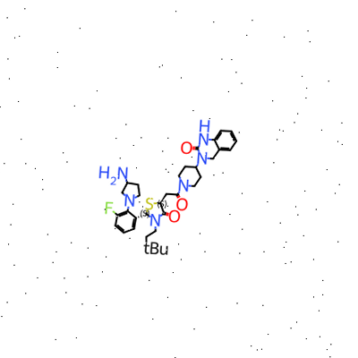 CC(C)(C)CCN1C(=O)[C@H](CC(=O)N2CCC(N3Cc4ccccc4NC3=O)CC2)S[C@H]1c1cccc(F)c1N1CCC(N)C1